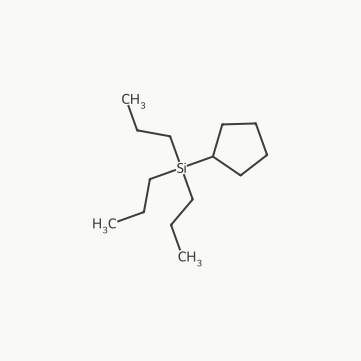 CCC[Si](CCC)(CCC)C1CCCC1